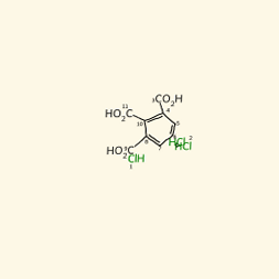 Cl.Cl.Cl.O=C(O)c1cccc(C(=O)O)c1C(=O)O